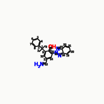 CC(C)(c1ccccc1)c1cc(CN)cc(-n2nc3ccccc3n2)c1O